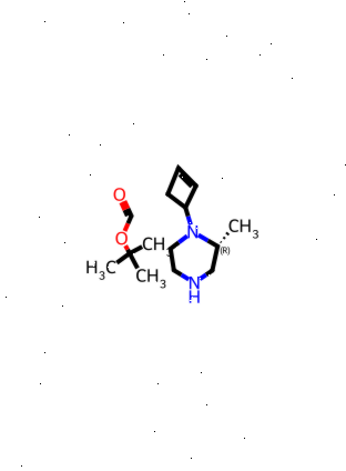 CC(C)(C)OC=O.C[C@@H]1CNCCN1C1C=CC1